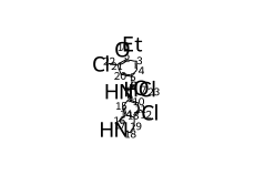 CCOc1ccc(C(=O)Nc2cc(Cl)c3c(c2)CNCC3)cc1Cl.Cl